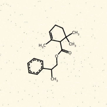 CC1=CCCC(C)(C)C1C(=O)OCC(C)c1ccccc1